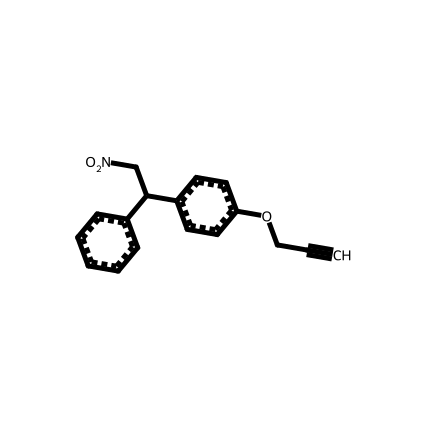 C#CCOc1ccc(C(C[N+](=O)[O-])c2ccccc2)cc1